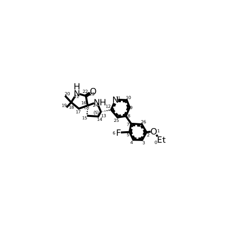 CCOc1ccc(F)c(-c2ccnc([C@@H]3CC[C@@]4(CC(C)(C)NC4=O)N3)c2)c1